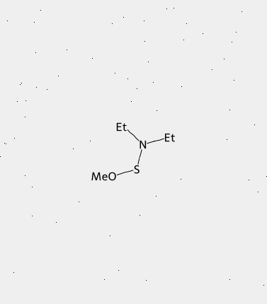 CCN(CC)SOC